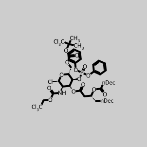 CCCCCCCCCCC[C@H](CC(=O)O[C@@H]1[C@@H](NC(=O)OCC(Cl)(Cl)Cl)[C@@H](Cl)O[C@H](COC(=O)OC(C)(C)C(Cl)(Cl)Cl)[C@H]1OP(=O)(Oc1ccccc1)Oc1ccccc1)OC(=O)CCCCCCCCCC